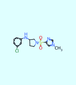 Cn1cnc(S(=O)(=O)N2CCC(Nc3cccc(Cl)c3)C2)c1